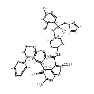 Nc1nc2sc(C(=O)O)c(C(=O)NC3CCN(CC(O)(Cn4cncn4)c4ccc(F)cc4F)CC3)c2n(-c2ccc3c(c2)N(c2ccccc2)CCO3)c1=O